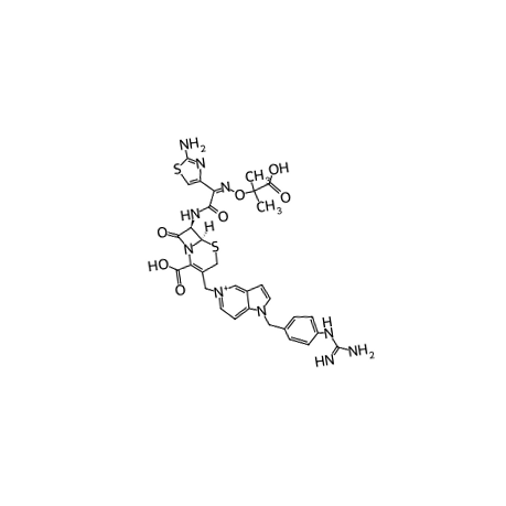 CC(C)(O/N=C(\C(=O)N[C@@H]1C(=O)N2C(C(=O)O)=C(C[n+]3ccc4c(ccn4Cc4ccc(NC(=N)N)cc4)c3)CS[C@H]12)c1csc(N)n1)C(=O)O